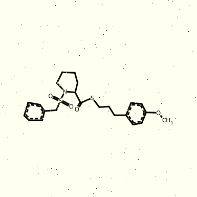 COc1ccc(CCCSC(=O)C2CCCCN2S(=O)(=O)Cc2ccccc2)cc1